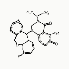 CC(C)N1CN(C2c3ccccc3COC3C(F)=CC=CC32)n2ccc(=O)c(O)c2C1=O